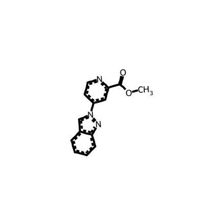 COC(=O)c1cc(-n2cc3ccccc3n2)ccn1